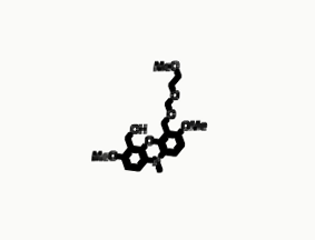 COCCOCOCc1c(OC)ccc2c1Oc1c(ccc(OC)c1CO)N2C